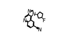 N#Cc1ccc2ncc3ncn([C@H]4CC[C@@H](F)C4)c3c2c1